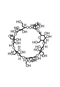 C[C@@H](O)C(O)[C@@H]1O[C@@H]2OC(CO)[C@@H](O[C@H]3OC(CO)[C@@H](O[C@H](O)/C(O)=C(/O)[C@@H](CCO)O[C@H]4OC(CO)[C@@H](O[C@H]5OC(CO)[C@@H](O[C@@H](O)/C(O)=C(\O)[C@@H](CCO)OOC1CO)C(O)C5O)C(O)C4O)C(O)C3O)[C@H](O)C2O